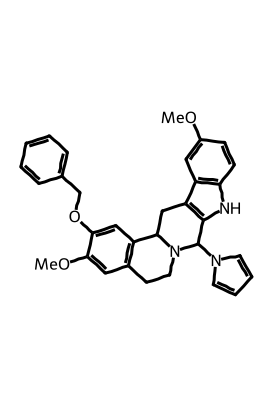 COc1ccc2[nH]c3c(c2c1)CC1c2cc(OCc4ccccc4)c(OC)cc2CCN1C3n1cccc1